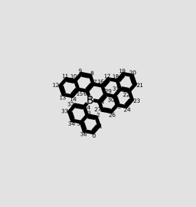 c1ccc2c(B3c4c(ccc5ccccc45)-c4cc5cccc6ccc7ccc3c4c7c65)cccc2c1